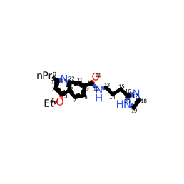 CCCc1cc(OCC)c2ccc(C(=O)NCCCc3ncc[nH]3)cc2n1